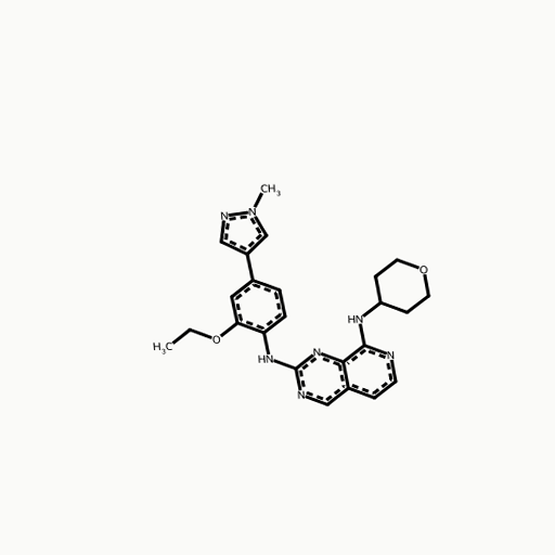 CCOc1cc(-c2cnn(C)c2)ccc1Nc1ncc2ccnc(NC3CCOCC3)c2n1